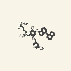 COC(=O)CCCN(C)Cc1cc(Cl)c(O[C@H]2CCc3c(-c4cccc5c4CCC5)cccc32)cc1OCc1cncc(C#N)c1